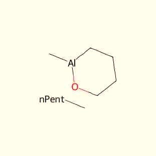 CCCCCC.[CH3][Al]1[CH2]CCC[O]1